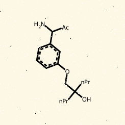 CCCC(O)(CCC)COc1cccc(C(N)C(C)=O)c1